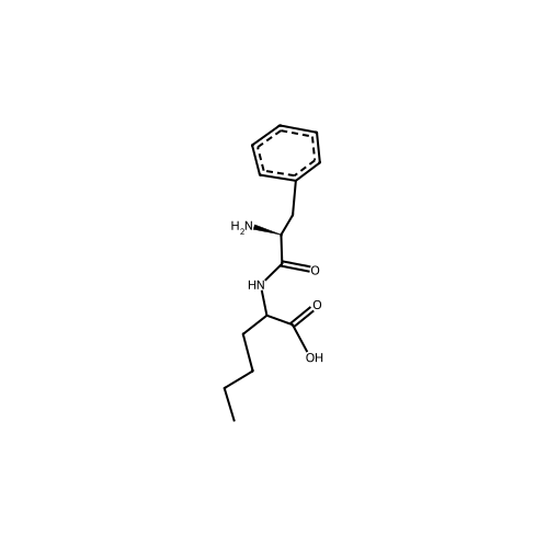 CCCCC(NC(=O)[C@@H](N)Cc1ccccc1)C(=O)O